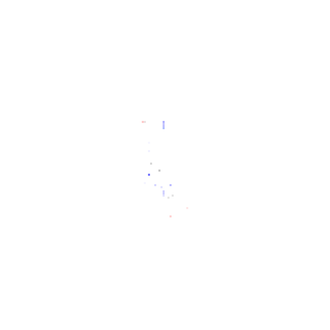 CC(=O)c1c(C)c2cnc(Nc3ccc(N4CCN(S(=O)(=O)NC(=O)C5CC5)CC4)cn3)nc2n(C2CCCC2)c1=O